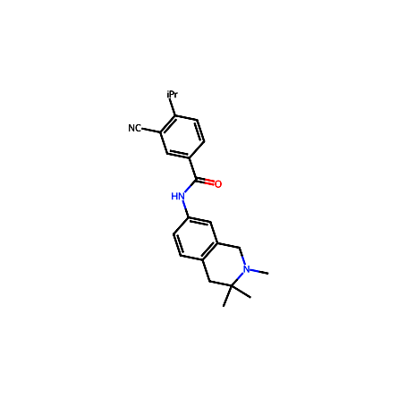 CC(C)c1ccc(C(=O)Nc2ccc3c(c2)CN(C)C(C)(C)C3)cc1C#N